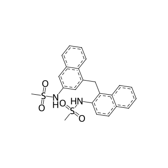 CS(=O)(=O)Nc1cc(Cc2c(NS(C)(=O)=O)ccc3ccccc23)c2ccccc2c1